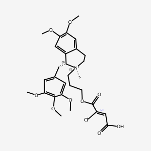 COc1cc2c(cc1OC)[C@@H](Cc1cc(OC)c(OC)c(OC)c1)[N@+](C)(CCCOC(=O)/C(Cl)=C/C(=O)O)CC2